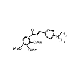 COc1ccc(C(=O)C=Cc2ccc(N(C)C)cc2)c(OC)c1OC